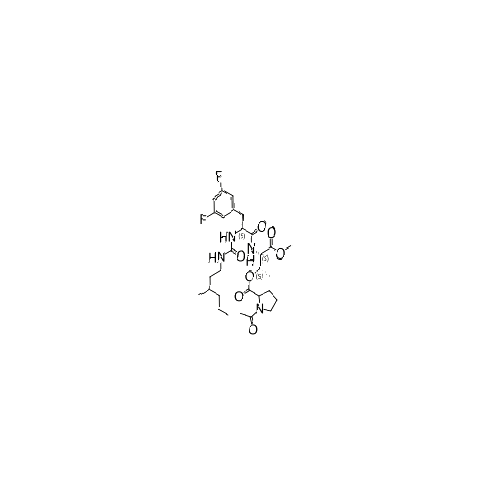 CCCC(C)CCNC(=O)N[C@@H](Cc1cc(F)cc(F)c1)C(=O)N[C@H](C(=O)OC)[C@H](C)OC(=O)C1CCCN1C(C)=O